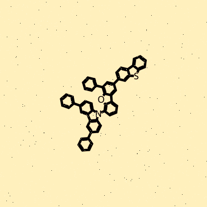 c1ccc(-c2ccc3c(c2)c2cc(-c4ccccc4)ccc2n3-c2cccc3c2oc2c(-c4ccccc4)cc(-c4ccc5c(c4)sc4ccccc45)cc23)cc1